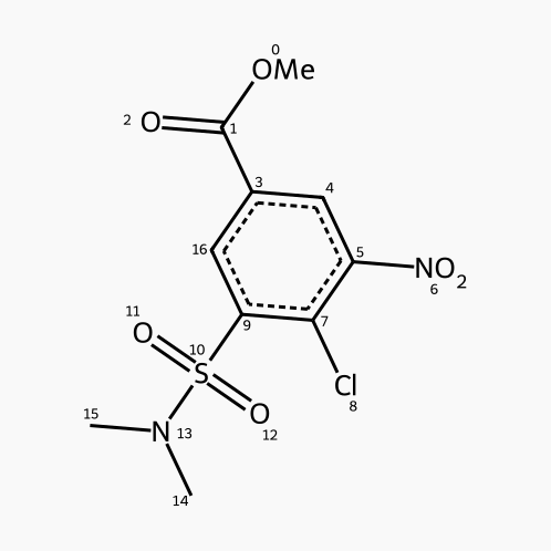 COC(=O)c1cc([N+](=O)[O-])c(Cl)c(S(=O)(=O)N(C)C)c1